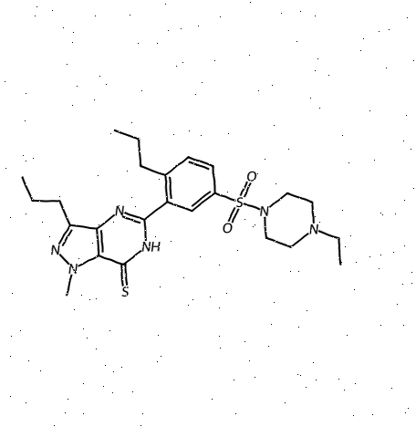 CCCc1ccc(S(=O)(=O)N2CCN(CC)CC2)cc1-c1nc2c(CCC)nn(C)c2c(=S)[nH]1